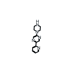 c1ccc(-c2cnc(N3CCNCC3)cn2)nc1